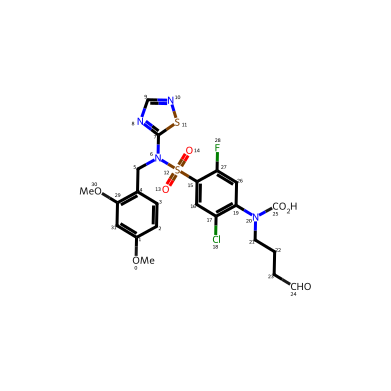 COc1ccc(CN(c2ncns2)S(=O)(=O)c2cc(Cl)c(N(CCCC=O)C(=O)O)cc2F)c(OC)c1